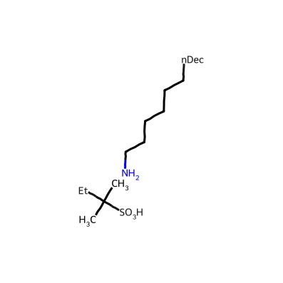 CCC(C)(C)S(=O)(=O)O.CCCCCCCCCCCCCCCCN